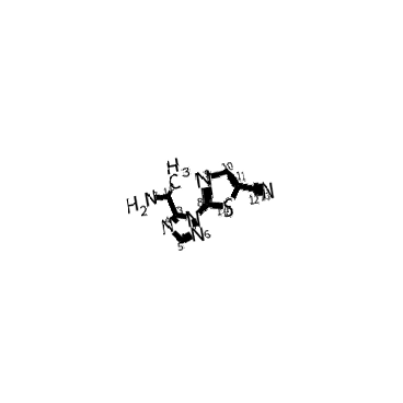 CC(N)c1ncnn1-c1ncc(C#N)s1